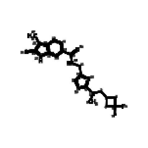 CN(CC1CC(F)(F)C1)c1ncc(CNC(=O)c2ccc3c(c2)[nH]c(=O)n3C)s1